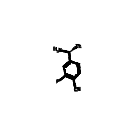 CC[C@@H](N)c1ccc(C#N)c(F)c1